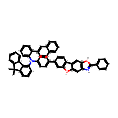 CC1(C)c2ccccc2-c2c(N(c3ccc(-c4ccc5c(c4)oc4cc6nc(-c7ccccc7)oc6cc45)cc3)c3ccccc3-c3ccc4ccccc4c3)cccc21